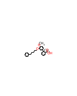 COc1ccc(C2(C)C=CC=CC2C(=O)O)cc1OCCCCCc1ccccc1